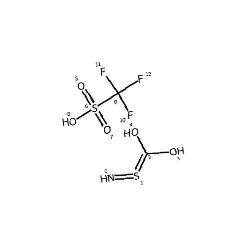 N=S=C(O)O.O=S(=O)(O)C(F)(F)F